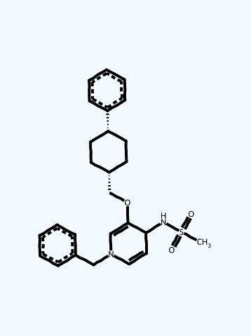 CS(=O)(=O)NC1C=CN(Cc2ccccc2)C=C1OC[C@H]1CC[C@@H](c2ccccc2)CC1